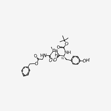 C[C@@H](NC(=O)[C@H](Cc1ccc(O)cc1)NC(=O)OC(C)(C)C)C(=O)NCC(=O)OCc1ccccc1